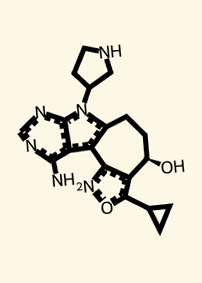 Nc1ncnc2c1c1c(n2C2CCNC2)CC[C@@H](O)c2c-1noc2C1CC1